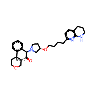 COC(=O)C(c1ccccc1C1CCOCC1)N1CC[C@@H](OCCCCc2ccc3c(n2)NCCC3)C1